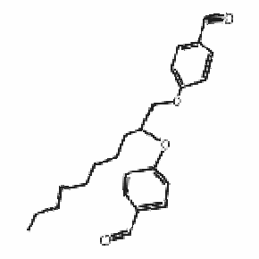 CCCCCCCCC(COc1ccc(C=O)cc1)Oc1ccc(C=O)cc1